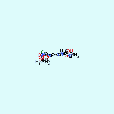 Cc1cccc(C(=O)Nc2cc3cn(C4CCN(CCC5CCC6(CC5)CCN(C(=O)c5ccc(Cl)c(N7CCC(=O)N(COC(=O)C(C)(C)C)C7=O)c5)CC6)CC4)nc3cc2C(C)(C)O)n1